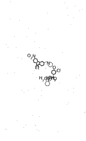 CCn1c2ccc(CN3CCC(Oc4ccc(C(=O)NCC5(N(C)C)CCCCC5)cc4Cl)CC3)cc2c2cc([N+](=O)[O-])ccc21